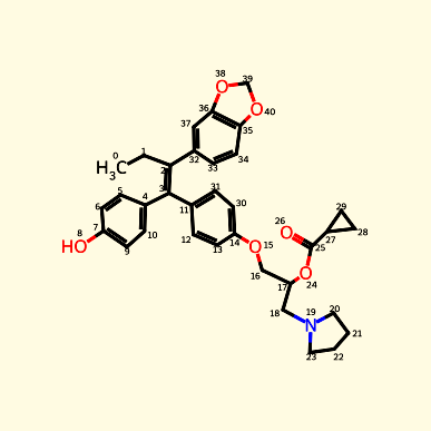 CC/C(=C(\c1ccc(O)cc1)c1ccc(OCC(CN2CCCC2)OC(=O)C2CC2)cc1)c1ccc2c(c1)OCO2